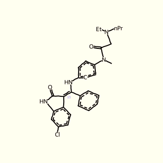 CCCN(CC)CC(=O)N(C)c1ccc(N/C(=C2\C(=O)Nc3cc(Cl)ccc32)c2ccccc2)cc1